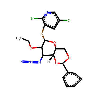 CCOC1C(N=[N+]=[N-])[C@H]2OC(c3ccccc3)OCC2O[C@@H]1Sc1cc(Cl)cnc1Br